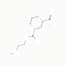 COCCOC(=O)c1cccc(C(C)=O)c1